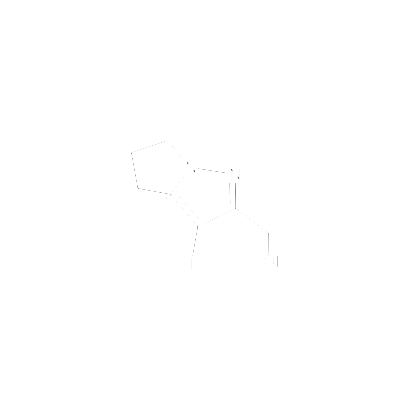 OCc1nn2c(c1I)CCC2